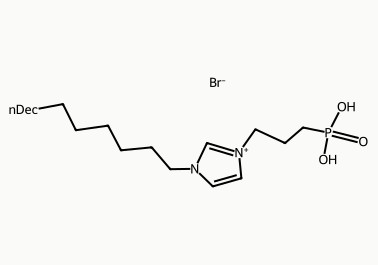 CCCCCCCCCCCCCCCCn1cc[n+](CCCP(=O)(O)O)c1.[Br-]